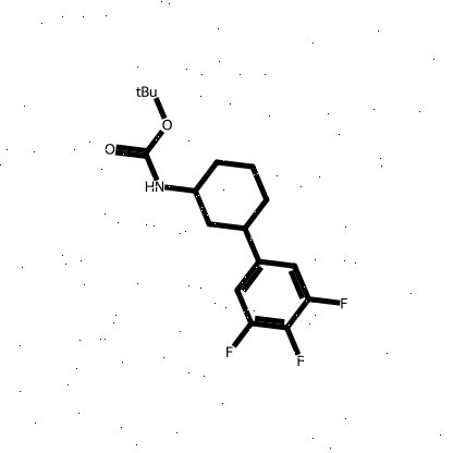 CC(C)(C)OC(=O)NC1CCCC(c2cc(F)c(F)c(F)c2)C1